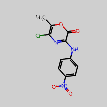 Cc1oc(=O)c(Nc2ccc([N+](=O)[O-])cc2)nc1Cl